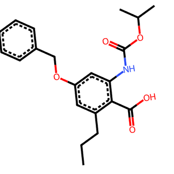 CCCc1cc(OCc2ccccc2)cc(NC(=O)OC(C)C)c1C(=O)O